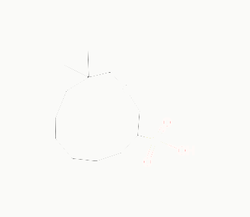 CC1(C)CCCCCCC(S(=O)(=O)O)CCC1